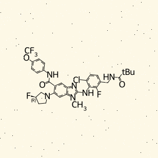 Cn1c(Nc2c(Cl)ccc(CNC(=O)C(C)(C)C)c2F)nc2cc(C(=O)Nc3ccc(OC(F)(F)F)cc3)c(N3CC[C@@H](F)C3)cc21